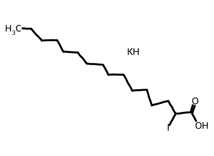 CCCCCCCCCCCCCCC(I)C(=O)O.[KH]